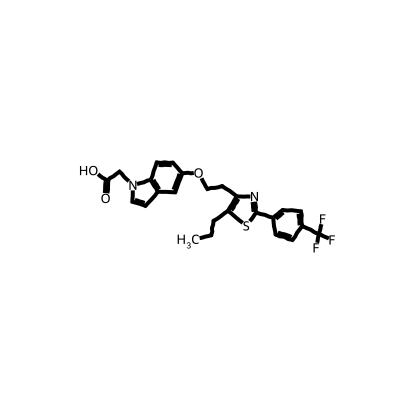 CCCc1sc(-c2ccc(C(F)(F)F)cc2)nc1CCOc1ccc2c(ccn2CC(=O)O)c1